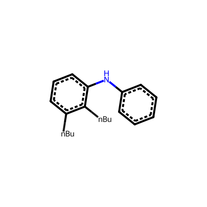 CCCCc1cccc(Nc2ccccc2)c1CCCC